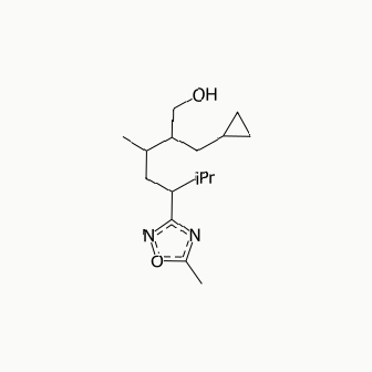 Cc1nc(C(CC(C)C(CO)CC2CC2)C(C)C)no1